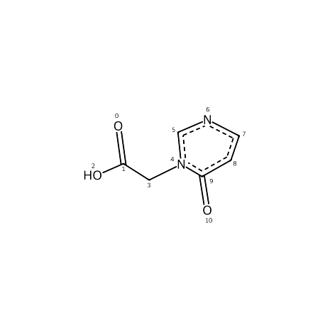 O=C(O)Cn1cnccc1=O